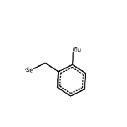 CCC(C)c1ccccc1C[Se]